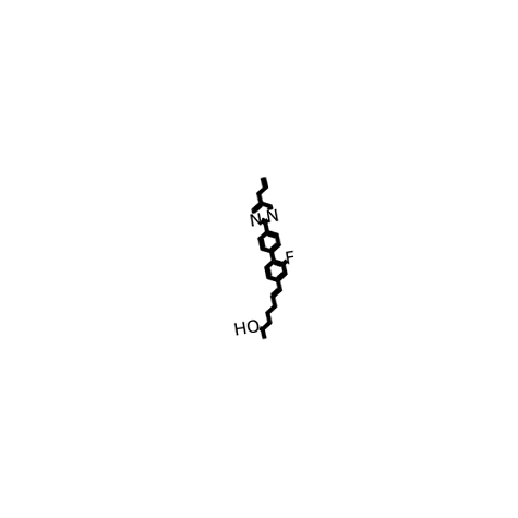 C=CCc1cnc(-c2ccc(-c3ccc(/C=C/CCCC(C)O)cc3F)cc2)nc1